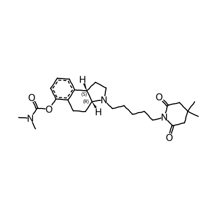 CN(C)C(=O)Oc1cccc2c1CC[C@@H]1[C@H]2CCN1CCCCCN1C(=O)CC(C)(C)CC1=O